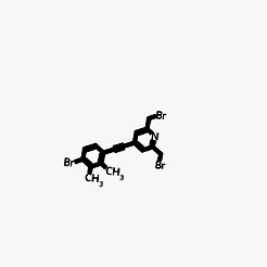 Cc1c(Br)ccc(C#Cc2cc(CBr)nc(CBr)c2)c1C